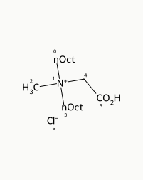 CCCCCCCC[N+](C)(CCCCCCCC)CC(=O)O.[Cl-]